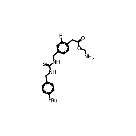 CC(C)(C)c1ccc(CNC(=S)NCc2ccc(CC(=O)OCN)c(F)c2)cc1